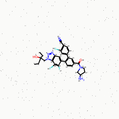 CCC(O)(CC)Cn1nnc2cc(-c3ccc(C(=O)N4CCC(N)C4)cc3-c3ccc(C#N)c(F)c3)c(F)c(F)c21